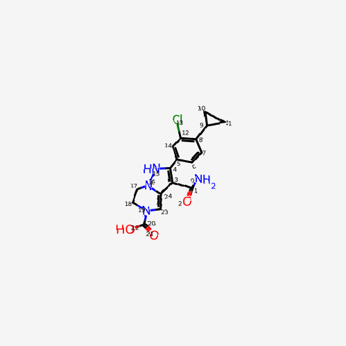 NC(=O)C1=C(c2ccc(C3CC3)c(Cl)c2)NN2CCN(C(=O)O)C=C12